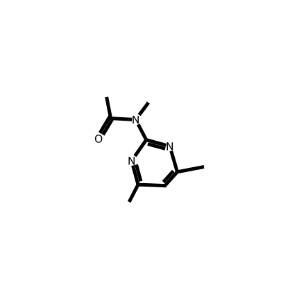 CC(=O)N(C)c1nc(C)cc(C)n1